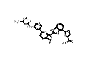 CC(=O)c1ccc(-c2cccc3[nH]c(-c4n[nH]c5ccc(-c6cncc(NC(=O)CC(C)C)c6)nc45)nc23)s1